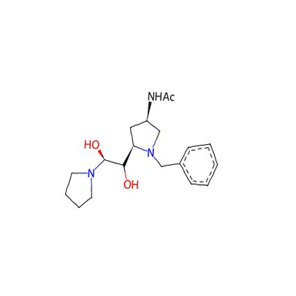 CC(=O)N[C@@H]1C[C@H](C(O)[C@H](O)N2CCCC2)N(Cc2ccccc2)C1